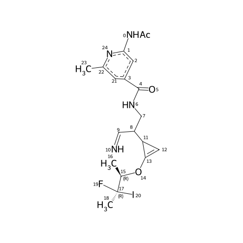 CC(=O)Nc1cc(C(=O)NCC(C=N)C2C=C2O[C@H](C)[C@](C)(F)I)cc(C)n1